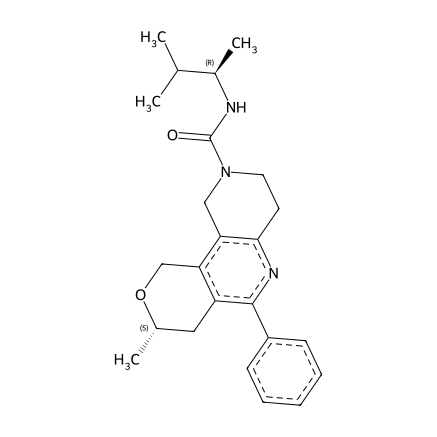 CC(C)[C@@H](C)NC(=O)N1CCc2nc(-c3ccccc3)c3c(c2C1)CO[C@@H](C)C3